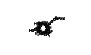 CCCCCOc1ccc(-c2ccc(-c3ccc(C(=O)N[C@H]4C[C@@H](O)[C@@H](OCC[N+](CF)(CF)CF)NC(=O)[C@@H]5[C@@H](O)[C@@H](C)CN5C(=O)[C@H]([C@@H](C)O)NC(=O)[C@H]([C@H](O)[C@@H](O)c5ccc(O)cc5)NC(=O)[C@@H]5C[C@@H](O)CN5C(=O)[C@H]([C@@H](C)O)NC4=O)cc3)cc2)cc1